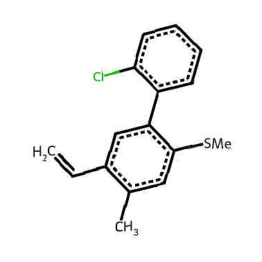 C=Cc1cc(-c2ccccc2Cl)c(SC)cc1C